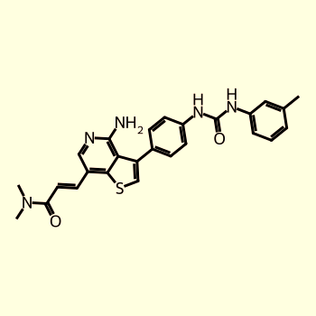 Cc1cccc(NC(=O)Nc2ccc(-c3csc4c(C=CC(=O)N(C)C)cnc(N)c34)cc2)c1